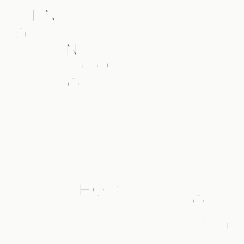 CC12CCC(OC(=O)N3CCNC(=O)C3)C=C1CCC1C2CCC2(C)C(c3ccc(=O)oc3)CCC12O